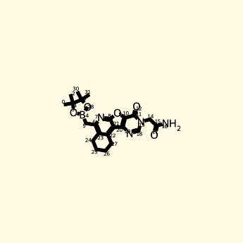 CC1(C)OB(Cc2nc3oc4c(=O)n(CC(N)=O)cnc4c3c3c2CCCC3)OC1(C)C